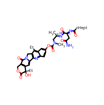 CCCCCCCC(=O)/N=C(\CC(N)=O)C(=O)N[C@H](C)CN(C)C(=O)Oc1ccc2nc3c(c(CC)c2c1)Cn1c-3cc2c(c1=O)COC(=O)[C@]2(O)CC